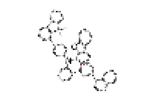 CC1(C)c2ccccc2-c2cccc(-c3ccc(N(c4ccccc4-c4cccc(-c5cccc6ccccc56)c4)c4cccc5c4oc4ccccc45)cc3)c21